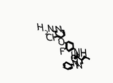 C/C=C(\C=N/Nc1ccccc1)C(=O)Nc1ccc(Oc2ccnc(N)c2Cl)c(F)c1